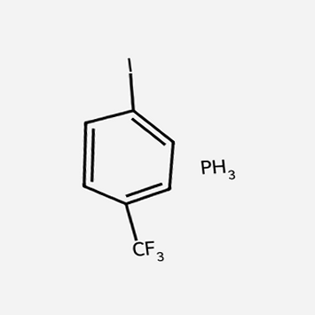 FC(F)(F)c1ccc(I)cc1.P